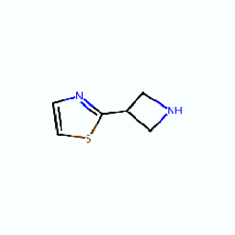 c1csc(C2CNC2)n1